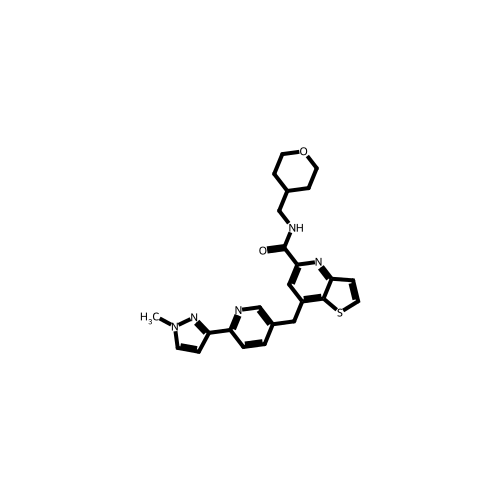 Cn1ccc(-c2ccc(Cc3cc(C(=O)NCC4CCOCC4)nc4ccsc34)cn2)n1